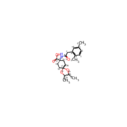 Cc1ccc(C)c(CC(=O)NC2(C(=O)O)CCC3(CC2)OC(C)C(C)O3)c1